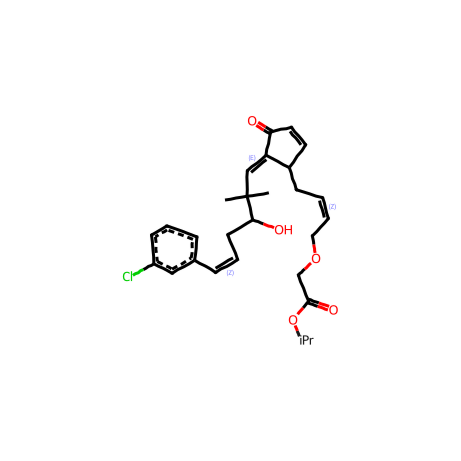 CC(C)OC(=O)COC/C=C\CC1C=CC(=O)/C1=C/C(C)(C)C(O)C/C=C\c1cccc(Cl)c1